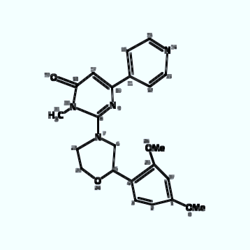 COc1ccc(C2CN(c3nc(-c4ccncc4)cc(=O)n3C)CCO2)c(OC)c1